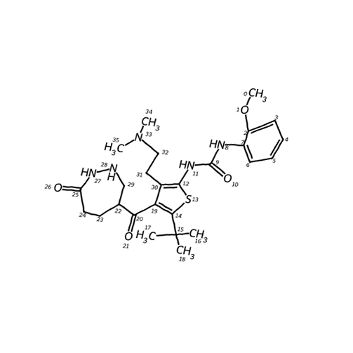 COc1ccccc1NC(=O)Nc1sc(C(C)(C)C)c(C(=O)C2CCC(=O)NNC2)c1CCN(C)C